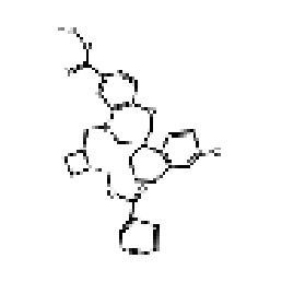 CC(C)(C)OC(=O)c1ccc2c(c1)N(C[C@@H]1CC[C@H]1COC(=O)c1ccccc1)C[C@@]1(CCCc3cc(Cl)ccc31)CO2